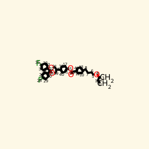 C=CC(=C)OCCCCc1ccc(C(=O)Oc2ccc(C3COC(c4ccc(F)cc4)(c4ccc(F)cc4)OC3)cc2)cc1